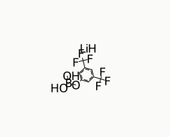 OB(O)Oc1cc(C(F)(F)F)cc(C(F)(F)F)c1.[LiH]